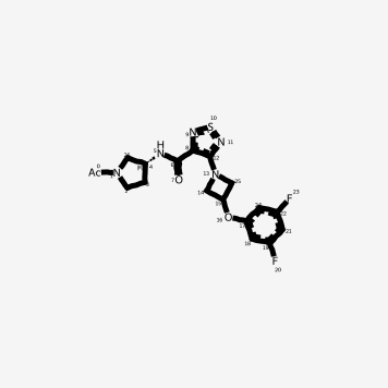 CC(=O)N1CC[C@@H](NC(=O)c2nsnc2N2CC(Oc3cc(F)cc(F)c3)C2)C1